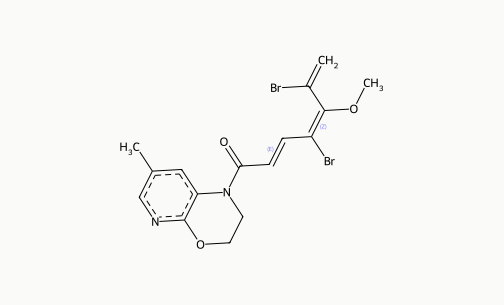 C=C(Br)/C(OC)=C(Br)\C=C\C(=O)N1CCOc2ncc(C)cc21